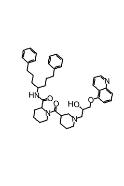 O=C(NC(CCCc1ccccc1)CCCc1ccccc1)C1CCCCN1C(=O)C1CCCN(C[C@@H](O)COc2cccc3ncccc23)C1